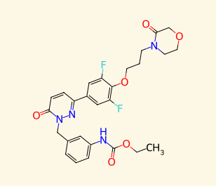 CCOC(=O)Nc1cccc(Cn2nc(-c3cc(F)c(OCCCN4CCOCC4=O)c(F)c3)ccc2=O)c1